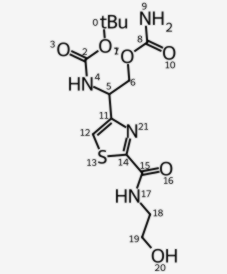 CC(C)(C)OC(=O)NC(COC(N)=O)c1csc(C(=O)NCCO)n1